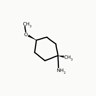 CO[C@H]1CC[C@](C)(N)CC1